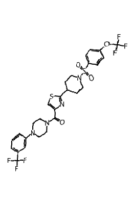 O=C(c1csc(C2CCN(S(=O)(=O)c3ccc(OC(F)(F)F)cc3)CC2)n1)N1CCN(c2cccc(C(F)(F)F)c2)CC1